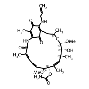 C=CCNC1=C2C[C@@H](C)C[C@H](OC)[C@H](O)[C@@H](C)C=C(C)[C@H](OC(N)=O)[C@@H](OC)C=CC=C(C)C(=O)NC(=C(C)C1=O)C2=O